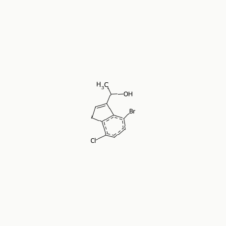 CC(O)C1=CCc2c(Cl)ccc(Br)c21